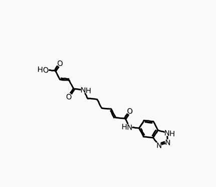 O=C(O)C=CC(=O)NCCCC=CC(=O)Nc1ccc2[nH]nnc2c1